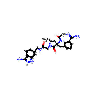 COC(=O)N[C@](CCC(=O)O)(Cc1cccc(C(=N)N)c1)C(=O)NCC(=O)NCc1ccc2c(N)n[nH]c2c1